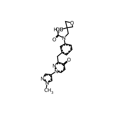 Cn1cc(-n2ccc(=O)c(Cc3cccc(N(CC4(C)COC4)C(=O)O)c3)n2)cn1